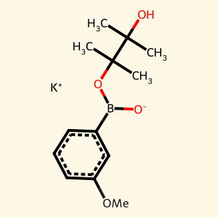 COc1cccc(B([O-])OC(C)(C)C(C)(C)O)c1.[K+]